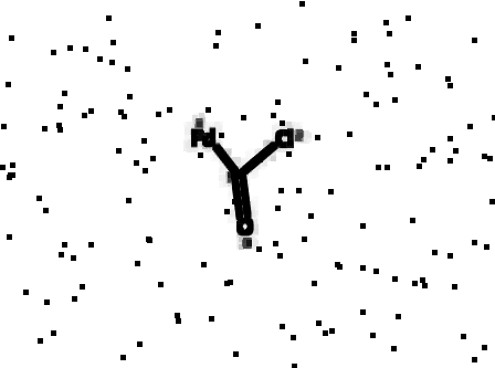 O=[C](Cl)[Pd]